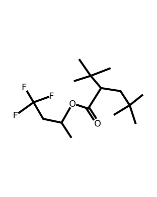 CC(CC(F)(F)F)OC(=O)C(CC(C)(C)C)C(C)(C)C